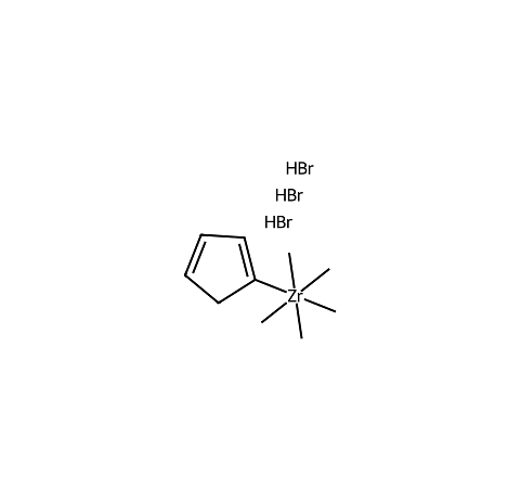 Br.Br.Br.[CH3][Zr]([CH3])([CH3])([CH3])([CH3])[C]1=CC=CC1